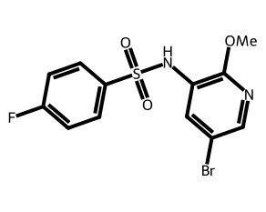 COc1ncc(Br)cc1NS(=O)(=O)c1ccc(F)cc1